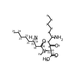 CCCCCC(N)CC(=O)[C@@H](C(=O)O)N(C)C(=O)C[C@@H](N)CCCCC